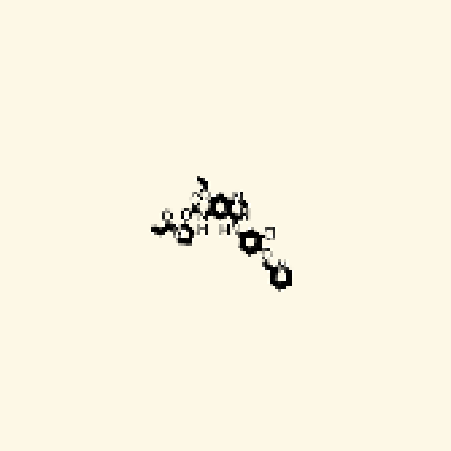 C=CC(=O)N1CCC[C@@H]1OC(=O)Nc1cc2c(Nc3ccc(OCc4ccccn4)c(Cl)c3)ncnc2cc1OCC